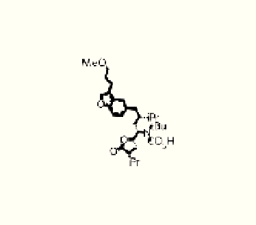 COCCCc1coc2ccc(C[C@@H](C[C@@H]([C@@H]3C[C@@H](C(C)C)C(=O)O3)N(C(=O)O)C(C)(C)C)C(C)C)cc12